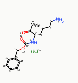 CNC(=O)[C@H](CCCCN)NC(=O)OCc1ccccc1.Cl